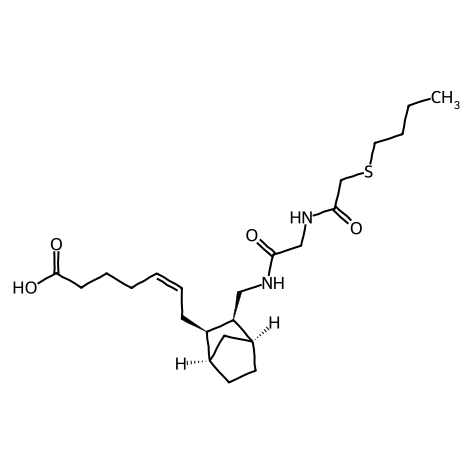 CCCCSCC(=O)NCC(=O)NC[C@H]1[C@H]2CC[C@H](C2)[C@H]1C/C=C\CCCC(=O)O